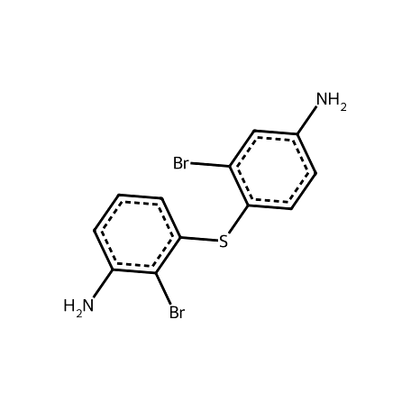 Nc1ccc(Sc2cccc(N)c2Br)c(Br)c1